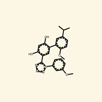 COc1cccc(-n2nnnc2-c2cc(-c3cc(C(C)C)ccc3OC)c(O)cc2O)c1